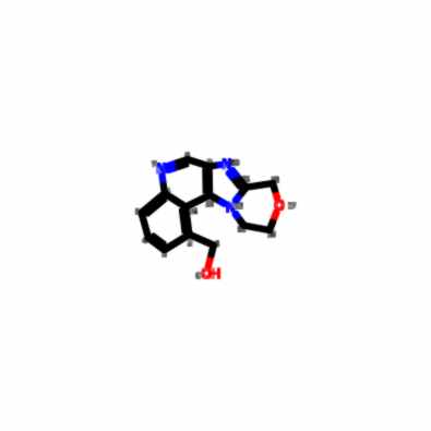 OCc1cccc2ncc3nc4n(c3c12)CCOC4